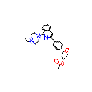 CCN1CCN(c2nc(-c3ccc([C@H]4C[C@@H](OC(C)=O)CCO4)cc3)cc3ccccc23)CC1